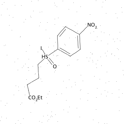 CCOC(=O)CCC[SH](=O)(I)c1ccc([N+](=O)[O-])cc1